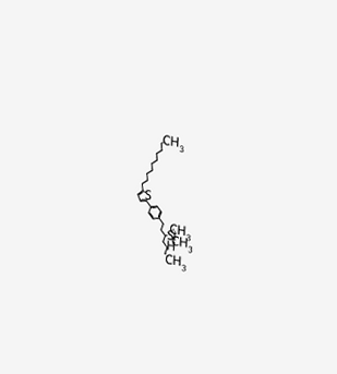 CCCCCCCCCCc1ccc(-c2ccc(CCC(CCCC)[SiH](C)C)cc2)s1